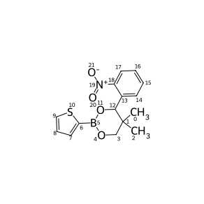 CC1(C)COB(c2cccs2)OC1c1ccccc1[N+](=O)[O-]